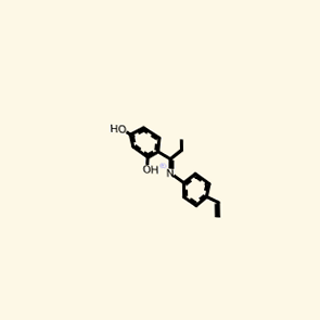 C=Cc1ccc(/N=C(\CC)c2ccc(O)cc2O)cc1